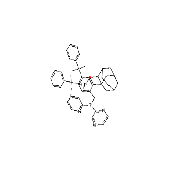 CC(C)(c1ccccc1)c1cc(CP(c2cnccn2)c2cnccn2)c(C23CC4CC(CC(C4)C2CP)C3)cc1C(C)(C)c1ccccc1